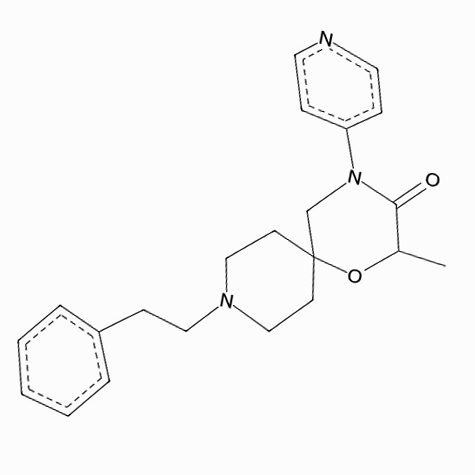 CC1OC2(CCN(CCc3ccccc3)CC2)CN(c2ccncc2)C1=O